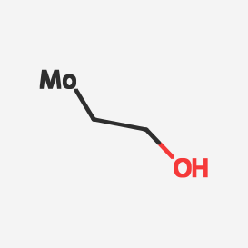 OC[CH2][Mo]